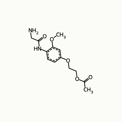 COc1cc(OCCOC(C)=O)ccc1NC(=O)CN